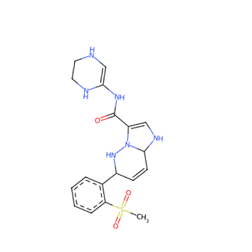 CS(=O)(=O)c1ccccc1C1C=CC2NC=C(C(=O)NC3=CNCCN3)N2N1